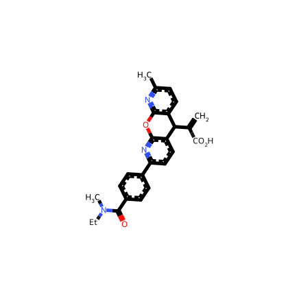 C=C(C(=O)O)C1c2ccc(C)nc2Oc2nc(-c3ccc(C(=O)N(C)CC)cc3)ccc21